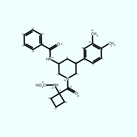 Cc1ccc(C2CC(NC(=O)c3ccccc3)CN(C(=O)C3(NC(=O)O)CCC3)C2)cc1C